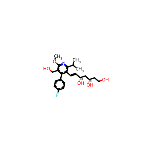 COc1nc(C(C)C)c(C=C[C@@H](O)C[C@@H](O)CCO)c(-c2ccc(F)cc2)c1CO